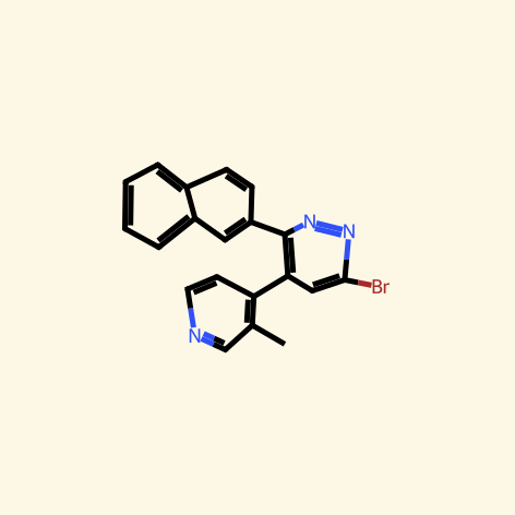 Cc1cnccc1-c1cc(Br)nnc1-c1ccc2ccccc2c1